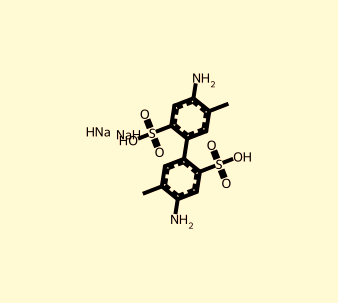 Cc1cc(-c2cc(C)c(N)cc2S(=O)(=O)O)c(S(=O)(=O)O)cc1N.[NaH].[NaH]